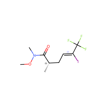 CON(C)C(=O)[C@@H](C)C/C=C(\I)C(F)(F)F